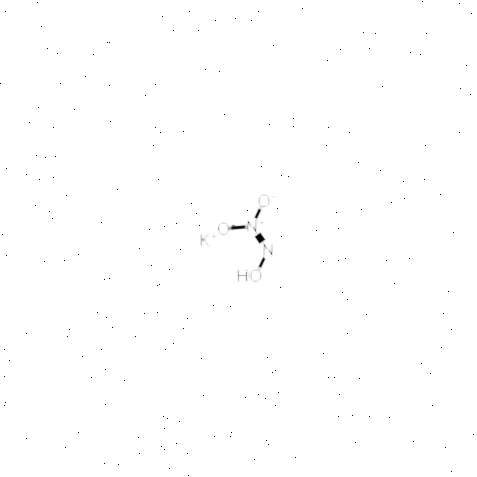 [K+].[O-][N+]([O-])=NO